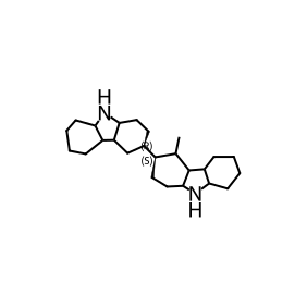 CC1C2C(CC[C@H]1[C@@H]1CCC3NC4CCCCC4C3C1)NC1CCCCC12